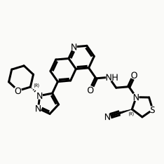 N#C[C@@H]1CSCN1C(=O)CNC(=O)c1ccnc2ccc(-c3ccnn3[C@H]3CCCCO3)cc12